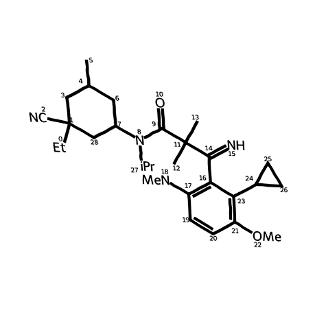 CCC1(C#N)CC(C)CC(N(C(=O)C(C)(C)C(=N)c2c(NC)ccc(OC)c2C2CC2)C(C)C)C1